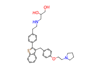 OCC(O)CNCCc1ccc(-c2sc3ccccc3c2Cc2ccc(OCCN3CCCC3)cc2)cc1